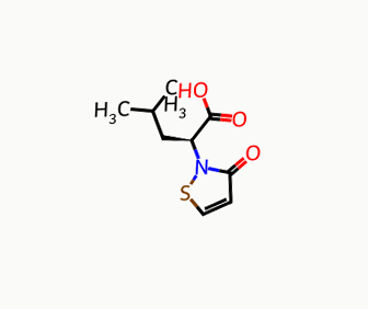 CC(C)C[C@@H](C(=O)O)n1sccc1=O